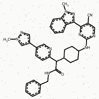 Cn1cc(-c2ccc(C(C(=O)NCc3ccccc3)C3CCC(Nc4ncc(C#N)c(-c5nn(C)c6ccccc56)n4)CC3)nc2)cn1